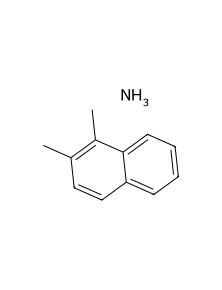 Cc1ccc2ccccc2c1C.N